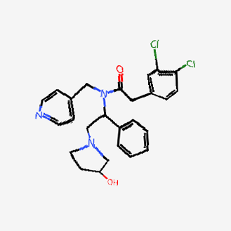 O=C(Cc1ccc(Cl)c(Cl)c1)N(Cc1ccncc1)C(CN1CCC(O)C1)c1ccccc1